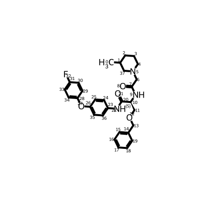 CC1CCCN(CC(=O)N[C@@H](COCc2ccccc2)C(=O)Nc2ccc(Oc3ccc(F)cc3)cc2)C1